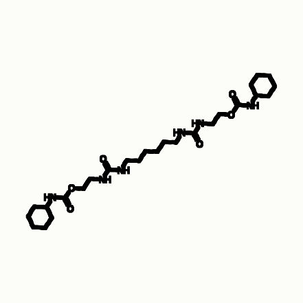 O=C(NCCCCCCNC(=O)NCCOC(=O)NC1CCCCC1)NCCOC(=O)NC1CCCCC1